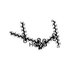 CCCCCCCCC(CCCCCC)OC(=O)CCCCC(=O)OC(COC(=O)CCCCCCC(=O)N(CCCCCCCC)CCCCCCCC)CN(C)CCO